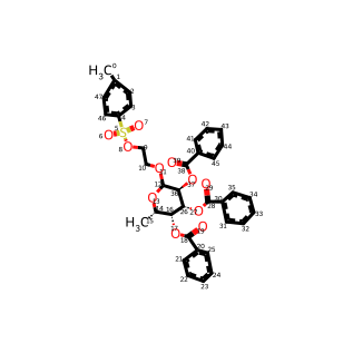 Cc1ccc(S(=O)(=O)OCCOC2O[C@@H](C)[C@@H](OC(=O)c3ccccc3)[C@@H](OC(=O)c3ccccc3)[C@@H]2OC(=O)c2ccccc2)cc1